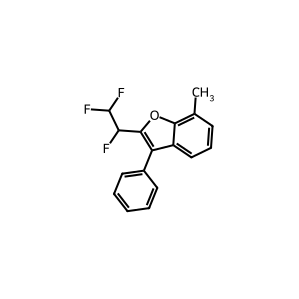 Cc1cccc2c(-c3ccccc3)c(C(F)C(F)F)oc12